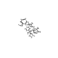 COc1cccc(CNC(=O)NC[C@H](NC(=O)[C@@H]2CCCN2S(=O)(=O)c2ccccc2)C(=O)O)c1